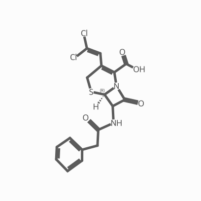 O=C(Cc1ccccc1)NC1C(=O)N2C(C(=O)O)=C(C=C(Cl)Cl)CS[C@H]12